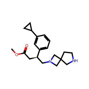 COC(=O)C[C@H](CN1CC2(CCNC2)C1)c1cccc(C2CC2)c1